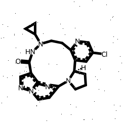 O=C1NN(C2CC2)CCc2ncc(Cl)cc2[C@H]2CCCN2c2ccn3ncc1c3n2